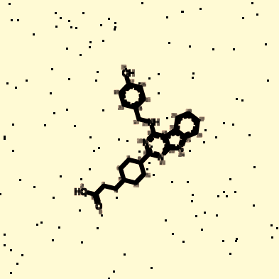 O=C(O)CCC1CCC(c2nc(NCc3ccc(O)cc3)c3c(n2)sc2ccccc23)CC1